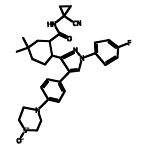 CC1(C)CCC(c2nn(-c3ccc(F)cc3)cc2-c2ccc(N3CC[S+]([O-])CC3)cc2)C(C(=O)NC2(C#N)CC2)C1